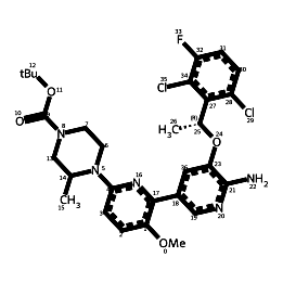 COc1ccc(N2CCN(C(=O)OC(C)(C)C)CC2C)nc1-c1cnc(N)c(O[C@H](C)c2c(Cl)ccc(F)c2Cl)c1